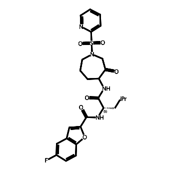 CC(C)C[C@H](NC(=O)c1cc2cc(F)ccc2o1)C(=O)NC1CCCN(S(=O)(=O)c2ccccn2)CC1=O